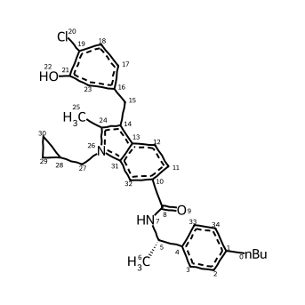 CCCCc1ccc([C@H](C)NC(=O)c2ccc3c(Cc4ccc(Cl)c(O)c4)c(C)n(CC4CC4)c3c2)cc1